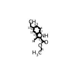 CCOC(=O)c1[nH]c2ccc(CC)cc2c1I